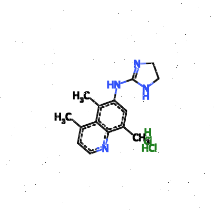 Cc1cc(NC2=NCCN2)c(C)c2c(C)ccnc12.Cl.Cl